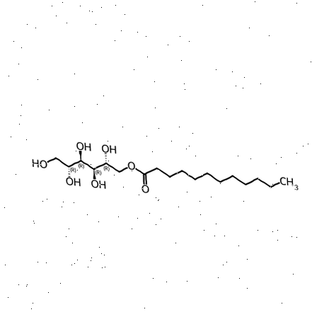 CCCCCCCCCCCC(=O)OC[C@@H](O)[C@@H](O)[C@H](O)[C@H](O)CO